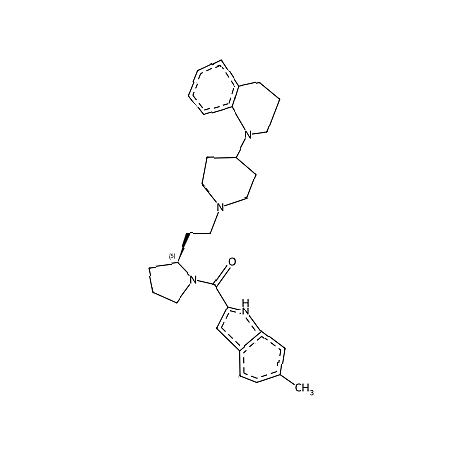 Cc1ccc2cc(C(=O)N3CCC[C@H]3CCN3CCC(N4CCCc5ccccc54)CC3)[nH]c2c1